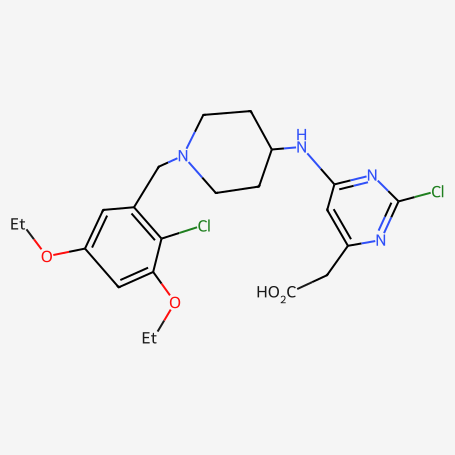 CCOc1cc(CN2CCC(Nc3cc(CC(=O)O)nc(Cl)n3)CC2)c(Cl)c(OCC)c1